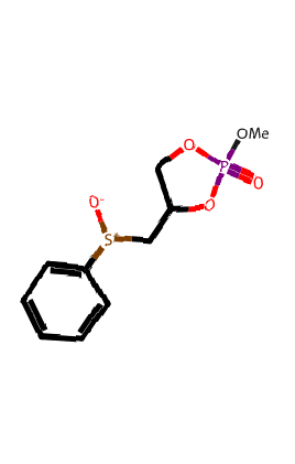 COP1(=O)OCC(C[S+]([O-])c2ccccc2)O1